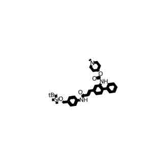 CN1CCC(OC(=O)Nc2cc(/C=C/C(=O)Nc3ccc(CO[Si](C)(C)C(C)(C)C)cc3)ccc2-c2ccccc2)CC1